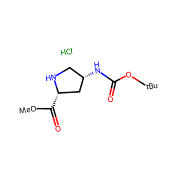 COC(=O)[C@H]1C[C@@H](NC(=O)OC(C)(C)C)CN1.Cl